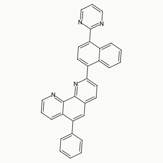 c1ccc(-c2cc3ccc(-c4ccc(-c5ncccn5)c5ccccc45)nc3c3ncccc23)cc1